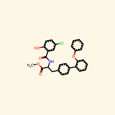 COC(=O)C(Cc1ccc(-c2ccccc2Oc2ccccc2)cc1)NC(=O)c1cc(Cl)ccc1O